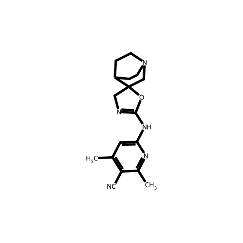 Cc1cc(NC2=NCC3(CN4CCC3CC4)O2)nc(C)c1C#N